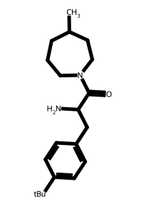 CC1CCCN(C(=O)C(N)Cc2ccc(C(C)(C)C)cc2)CC1